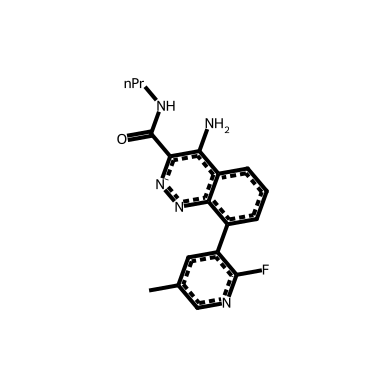 CCCNC(=O)c1nnc2c(-c3cc(C)cnc3F)cccc2c1N